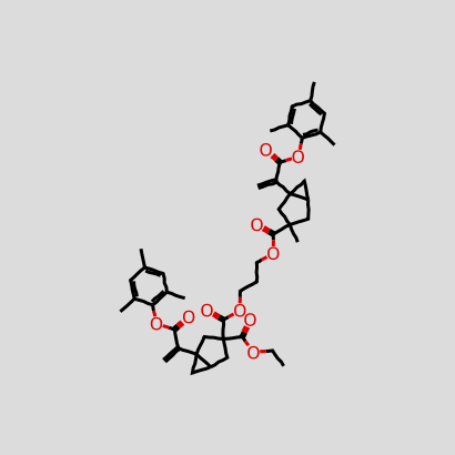 C=C(C(=O)Oc1c(C)cc(C)cc1C)C12CC1CC(C)(C(=O)OCCCOC(=O)C1(C(=O)OCC)CC3CC3(C(=C)C(=O)Oc3c(C)cc(C)cc3C)C1)C2